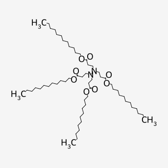 CCCCCCCCCCCCOC(=O)CCN(CCC(=O)OCCCCCCCCCCCC)N(CCC(=O)OCCCCCCCCCCCC)CCC(=O)OCCCCCCCCCCCC